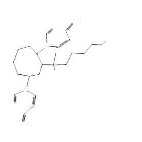 C=C/C=C\N(C=C)C1CCCCC(N(C=C)/C=C\C=C)C(C(C)(C)CCCCCC)C1